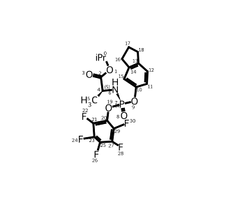 CC(C)OC(=O)[C@H](C)N[P@](=O)(Oc1ccc2c(c1)CCC2)Oc1c(F)c(F)c(F)c(F)c1F